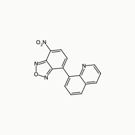 O=[N+]([O-])c1ccc(-c2cccc3cccnc23)c2nonc12